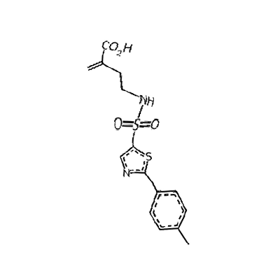 C=C(CCNS(=O)(=O)c1cnc(-c2ccc(C)cc2)s1)C(=O)O